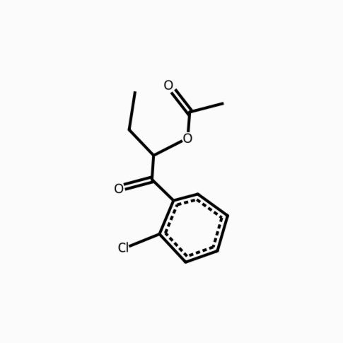 CCC(OC(C)=O)C(=O)c1ccccc1Cl